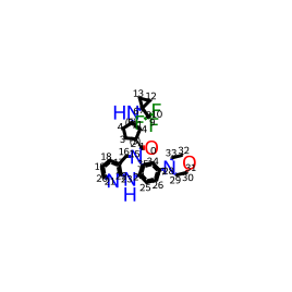 O=C([C@H]1CC[C@@H](NC2(C(F)(F)F)CC2)C1)N1Cc2cccnc2Nc2ccc(N3CCOCC3)cc21